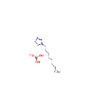 CCCCCCCCCCCCCCCCCN1C=NCC1.OB(O)O